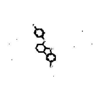 Fc1ccc(OC2CCCC3c4cc(Br)ccc4NC23)cc1